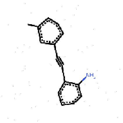 Cc1cccc(C#Cc2ccccc2N)c1